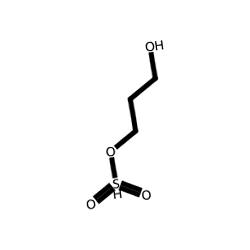 O=[SH](=O)OCCCO